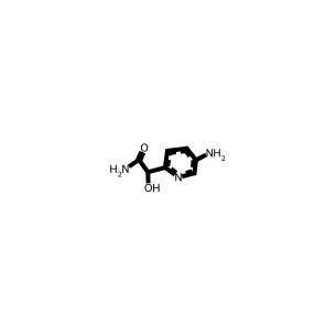 NC(=O)C(O)c1ccc(N)cn1